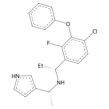 CC[C@@H](N[C@H](C)c1cc[nH]c1)c1ccc(Cl)c(Oc2ccccc2)c1F